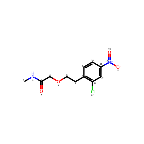 CNC(=O)COCCc1ccc([N+](=O)[O-])cc1Cl